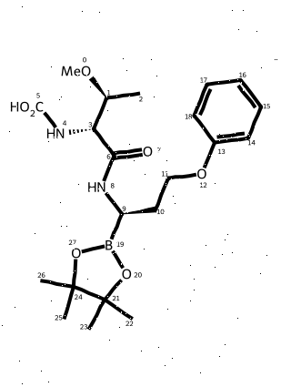 CO[C@@H](C)[C@@H](NC(=O)O)C(=O)N[C@@H](CCOc1ccccc1)B1OC(C)(C)C(C)(C)O1